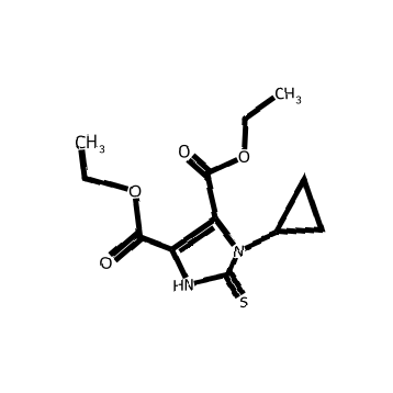 CCOC(=O)c1[nH]c(=S)n(C2CC2)c1C(=O)OCC